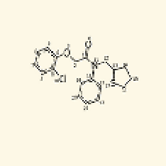 O=C(COc1ccccc1Cl)N(CC1CCCS1)c1ccccc1